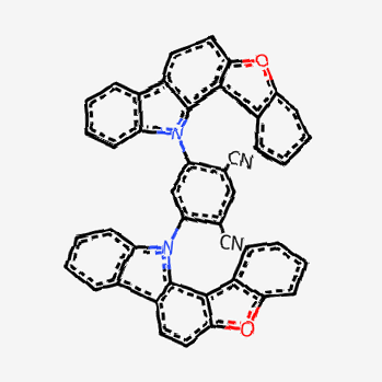 N#Cc1cc(C#N)c(-n2c3ccccc3c3ccc4oc5ccccc5c4c32)cc1-n1c2ccccc2c2ccc3oc4ccccc4c3c21